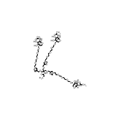 CCC(=O)NC(COCc1cn(CCOCCOCCOCCOC[C@@]23CO[C@H](O2)[C@H](NC(C)=O)[C@@H](O)[C@H]3O)nn1)(COCc1cn(CCOCCOCCOCCOC[C@@]23CO[C@H](O2)[C@H](NC(C)=O)[C@@H](O)[C@H]3O)nn1)COCc1cn(CCOCCOCCOCCOC[C@@]23CO[C@@H](O2)[C@H](NC(C)=O)[C@@H](O)[C@H]3O)nn1